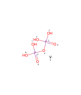 O=P(O)(O)OP(=O)(O)O.[V]